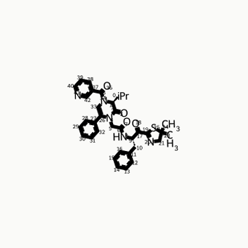 CC(C)[C@H]1C(=O)N(CC(=O)N[C@@H](Cc2ccccc2)C(=O)C2=NCC(C)(C)S2)C(c2ccccc2)=CN1C(=O)c1cccnc1